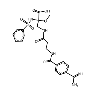 CO[C@](CNC(=O)CCNC(=O)c1ccc(C(=N)N)cc1)(NS(=O)(=O)c1ccccc1)C(=O)O